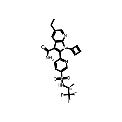 CCc1cnc2c(c1)c(C(N)=O)c(-c1ccc(S(=O)(=O)N[C@@H](C)C(F)(F)F)cn1)n2C1=CC=C1